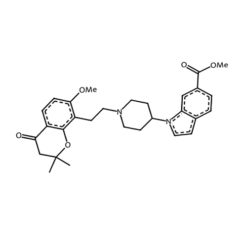 COC(=O)c1ccc2ccn(C3CCN(CCc4c(OC)ccc5c4OC(C)(C)CC5=O)CC3)c2c1